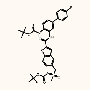 CC(C)(C)OC(=O)N=S(C)(=O)Cc1ccc2sc(C(=O)Nc3cc(-c4ccc(F)cc4)ccc3NC(=O)OC(C)(C)C)cc2c1